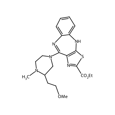 CCOC(=O)c1nc2c(s1)Nc1ccccc1N=C2N1CCN(C)C(CCOC)C1